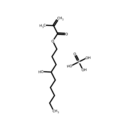 C=C(C)C(=O)OCCCC(O)CCCCC.O=P(O)(O)O